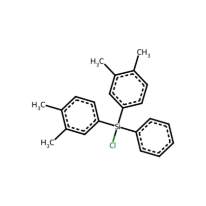 Cc1ccc([Si](Cl)(c2ccccc2)c2ccc(C)c(C)c2)cc1C